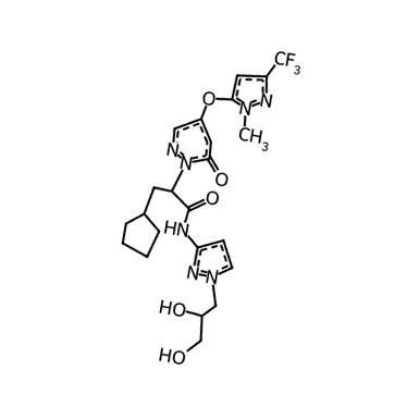 Cn1nc(C(F)(F)F)cc1Oc1cnn(C(CC2CCCC2)C(=O)Nc2ccn(CC(O)CO)n2)c(=O)c1